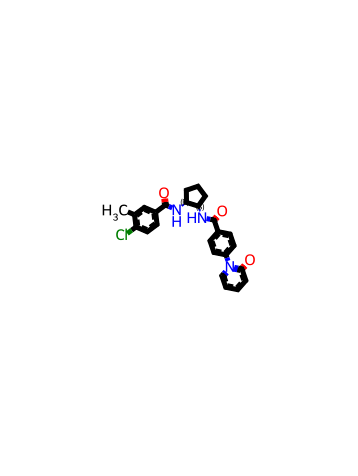 Cc1cc(C(=O)N[C@@H]2CCC[C@@H]2NC(=O)c2ccc(-n3ccccc3=O)cc2)ccc1Cl